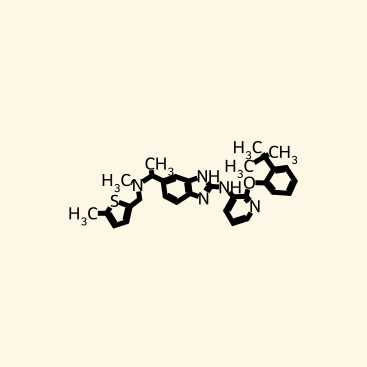 Cc1ccc(CN(C)C(C)c2ccc3nc(Nc4cccnc4Oc4ccccc4C(C)(C)C)[nH]c3c2)s1